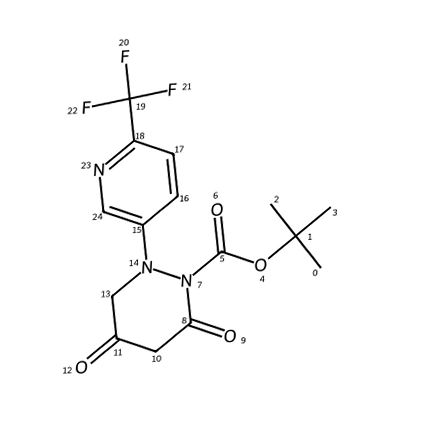 CC(C)(C)OC(=O)N1C(=O)CC(=O)CN1c1ccc(C(F)(F)F)nc1